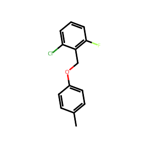 Cc1ccc(OCc2c(F)cccc2Cl)cc1